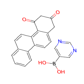 O=C1CC(=O)c2c(ccc3c2ccc2ccccc23)C1.OB(O)c1cncnc1